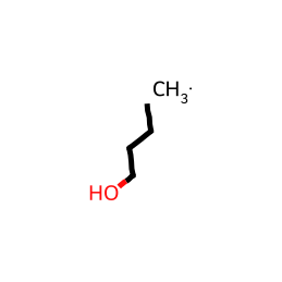 CCCCO.[CH3]